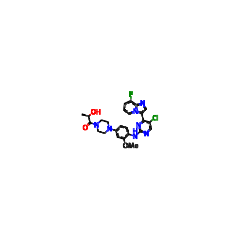 COc1cc(N2CCN(C(=O)[C@@H](C)O)CC2)ccc1Nc1ncc(Cl)c(-c2cnc3c(F)cccn23)n1